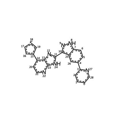 c1ccc(-c2ccc3[nH]nc(-c4nc5c(-c6ccsc6)ccnc5[nH]4)c3c2)nc1